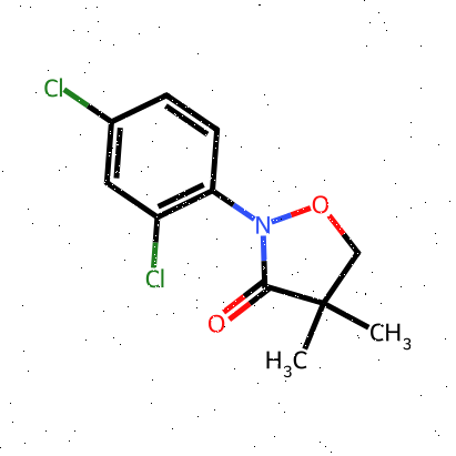 CC1(C)CON(c2ccc(Cl)cc2Cl)C1=O